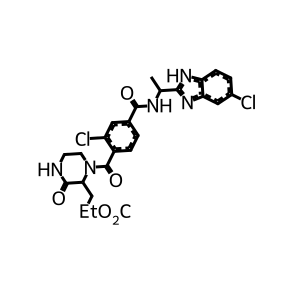 CCOC(=O)CC1C(=O)NCCN1C(=O)c1ccc(C(=O)NC(C)c2nc3cc(Cl)ccc3[nH]2)cc1Cl